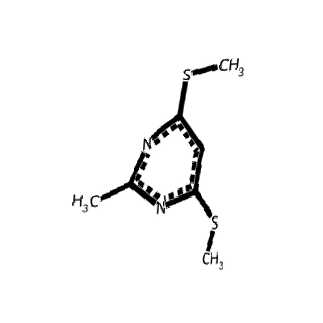 CSc1cc(SC)nc(C)n1